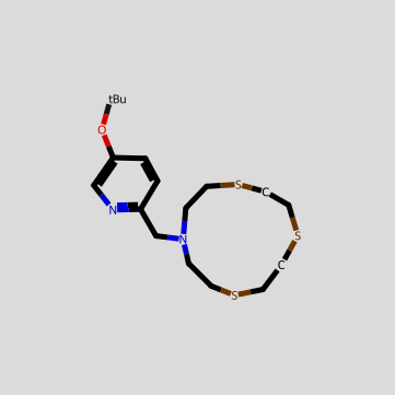 CC(C)(C)Oc1ccc(CN2CCSCCSCCSCC2)nc1